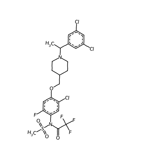 CC(c1cc(Cl)cc(Cl)c1)N1CCC(COc2cc(F)c(N(C(=O)C(F)(F)F)S(C)(=O)=O)cc2Cl)CC1